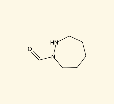 O=CN1CCCCCN1